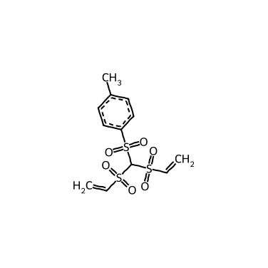 C=CS(=O)(=O)C(S(=O)(=O)C=C)S(=O)(=O)c1ccc(C)cc1